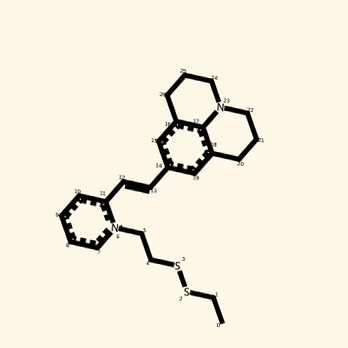 CCSSCC[n+]1ccccc1/C=C/c1cc2c3c(c1)CCCN3CCC2